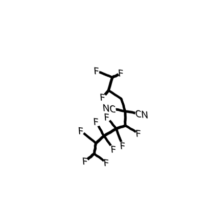 N#CC(C#N)(CC(F)C(F)F)C(F)C(F)(F)C(F)(F)C(F)C(F)F